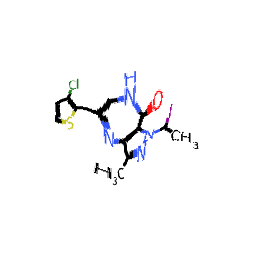 Cc1nn(C(C)I)c2c1N=C(c1sccc1Cl)CNC2=O